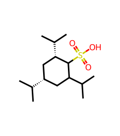 CC(C)C1C[C@H](C(C)C)C[C@H](C(C)C)C1S(=O)(=O)O